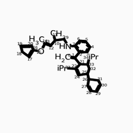 C=C(c1ccccc1NCC(C)/C=C(\C)OC1=CCC=C1)C1C(C(C)C)=CC(C2C=CC=CC2)CC1C(C)C